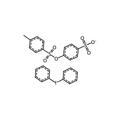 Cc1ccc(S(=O)(=O)Oc2ccc(S(=O)(=O)[O-])cc2)cc1.c1ccc([I+]c2ccccc2)cc1